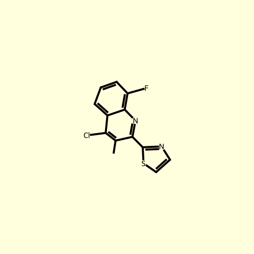 Cc1c(-c2nccs2)nc2c(F)cccc2c1Cl